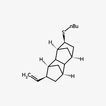 C=C[C@@H]1C[C@H]2C[C@@H]1C1C2[C@@H]2C[C@H](SCCCC)[C@H]1C2